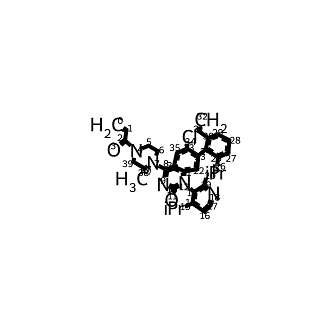 C=CC(=O)N1CCN(c2nc(=O)n(-c3c(C(C)C)ccnc3C(C)C)c3cc(-c4c(F)cccc4C=C)c(Cl)cc23)[C@@H](C)C1